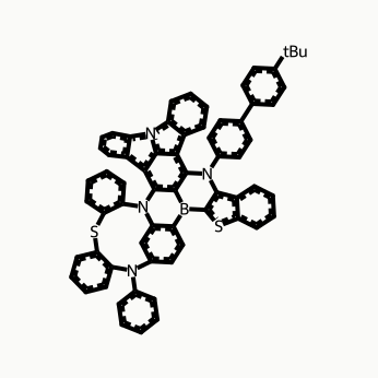 CC(C)(C)c1ccc(-c2ccc(N3c4c(sc5ccccc45)B4c5ccc6cc5N(c5ccccc5Sc5ccccc5N6c5ccccc5)c5c4c3c3c4ccccc4n4c6ccccc6c5c34)cc2)cc1